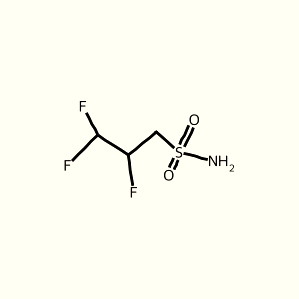 NS(=O)(=O)CC(F)C(F)F